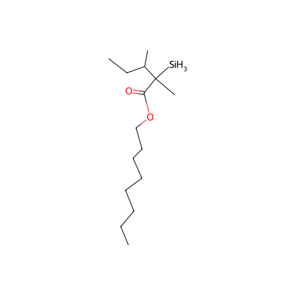 CCCCCCCCOC(=O)C(C)([SiH3])C(C)CC